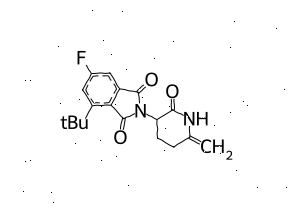 C=C1CCC(N2C(=O)c3cc(F)cc(C(C)(C)C)c3C2=O)C(=O)N1